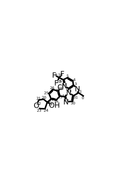 Cc1nc2ccc(C(F)(F)F)nc2n2c(-c3cc(C4(O)CCOCC4)ccc3Cl)ncc12